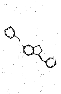 C(=C1CCc2cc(OCc3ccccc3)ccc21)c1cccnc1.Cl